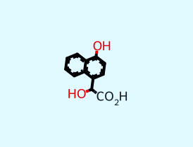 O=C(O)C(O)c1ccc(O)c2ccccc12